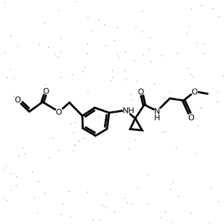 COC(=O)CNC(=O)C1(Nc2cccc(COC(=O)C=O)c2)CC1